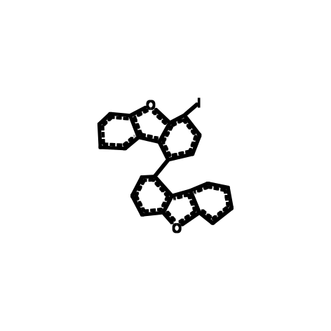 Ic1ccc(-c2cccc3oc4ccccc4c23)c2c1oc1ccccc12